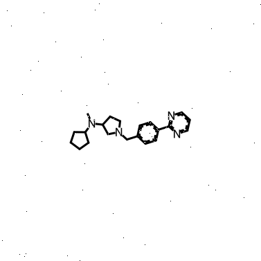 CN(C1CCCC1)C1CCN(Cc2ccc(-c3ncccn3)cc2)C1